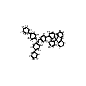 C1=CC2=C(CC1)c1ccccc1C2(c1ccccc1)c1cccc(-c2ccc(N(c3ccc(-c4ccccc4)cc3)c3ccc(-c4ccccc4)cc3)cc2)c1